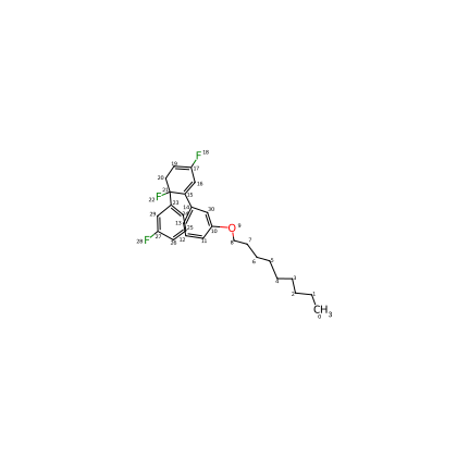 CCCCCCCCCOc1cccc(C2=CC(F)=CCC2(F)c2cccc(F)c2)c1